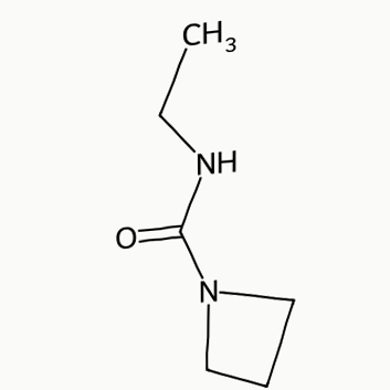 CCNC(=O)N1CCC1